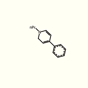 CCCN1C=CC(c2ccccc2)=CC1